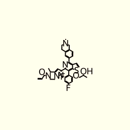 C=CC(=O)N1CCn2nc(-c3nc(-c4ccc5c(c4)CCN(C)C5)c4ccsc4c3-c3c(F)cc(F)cc3OCC(C)O)cc2C1C